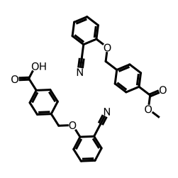 COC(=O)c1ccc(COc2ccccc2C#N)cc1.N#Cc1ccccc1OCc1ccc(C(=O)O)cc1